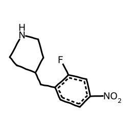 O=[N+]([O-])c1ccc(CC2CCNCC2)c(F)c1